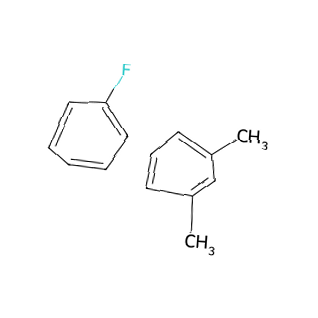 Cc1cccc(C)c1.Fc1ccccc1